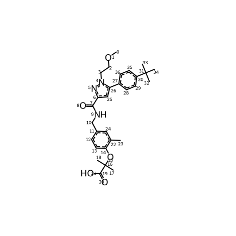 COCCn1nc(C(=O)NCc2ccc(OC(C)(C)C(=O)O)c(C)c2)cc1-c1ccc(C(C)(C)C)cc1